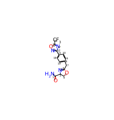 NC(=O)C1COC(Cc2ccc(-c3noc(C(F)(F)F)n3)cc2)=N1